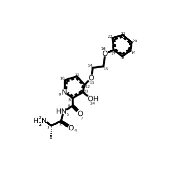 C[C@H](N)C(=O)NC(=O)c1nccc(OCCOc2ccccc2)c1O